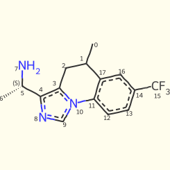 CC1Cc2c([C@H](C)N)ncn2-c2ccc(C(F)(F)F)cc21